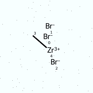 [Br-].[Br-].[Br-].[CH3][Zr+3]